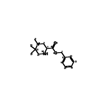 CN1CC(C(=O)OCc2ccccc2)NCC1(C)C